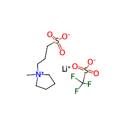 C[N+]1(CCCS(=O)(=O)[O-])CCCC1.O=S(=O)([O-])C(F)(F)F.[Li+]